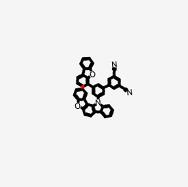 N#Cc1cc(C#N)cc(-c2cc(-c3cccc4c3oc3ccccc34)cc(-n3c4ccccc4c4ccc5oc6ccccc6c5c43)c2)c1